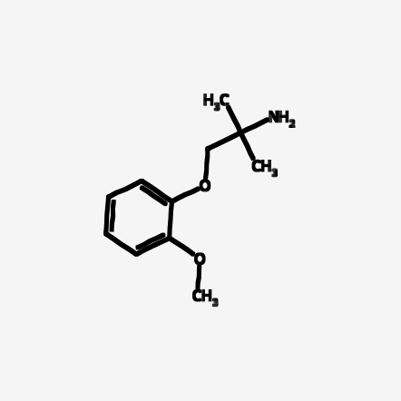 COc1ccccc1OCC(C)(C)N